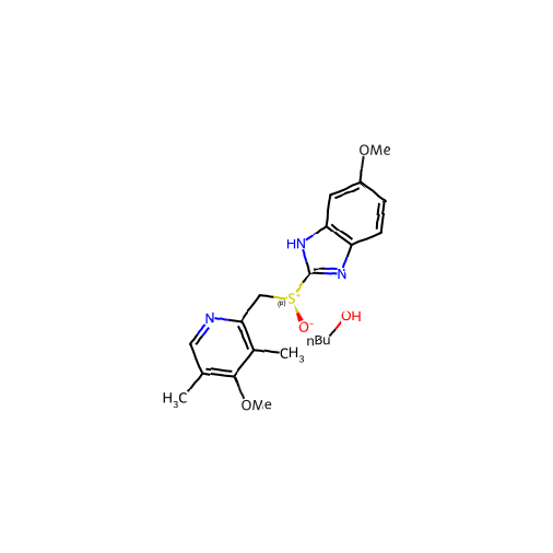 COc1ccc2nc([S@@+]([O-])Cc3ncc(C)c(OC)c3C)[nH]c2c1.[CH2]CCCO